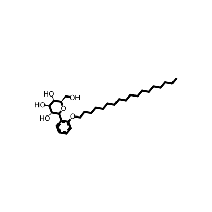 CCCCCCCCCCCCCCCCCCOc1ccccc1[C]1O[C@H](CO)[C@@H](O)[C@H](O)[C@H]1O